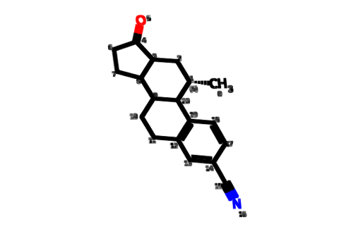 C[C@H]1CC2C(=O)CCC2C2CCc3cc(C#N)ccc3C21